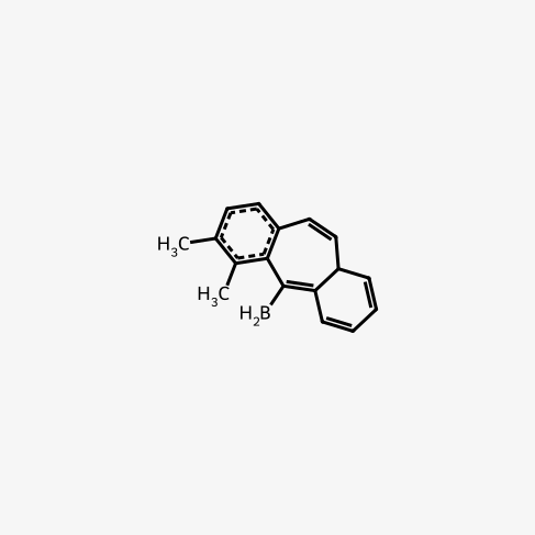 BC1=C2C=CC=CC2C=Cc2ccc(C)c(C)c21